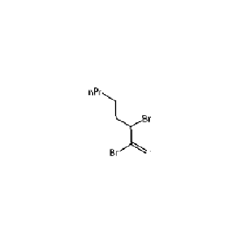 [CH]=C(Br)C(Br)CCCCC